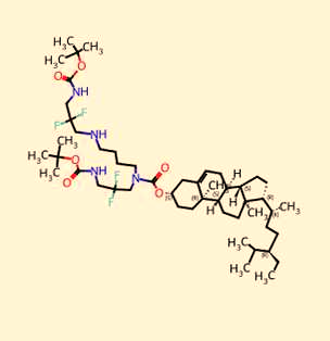 CC[C@H](CC[C@@H](C)[C@H]1CC[C@H]2[C@@H]3CC=C4C[C@@H](OC(=O)N(CCCCNCC(F)(F)CNC(=O)OC(C)(C)C)CC(F)(F)CNC(=O)OC(C)(C)C)CC[C@]4(C)[C@H]3CC[C@]12C)C(C)C